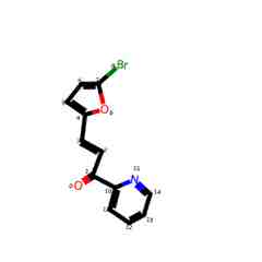 O=C(/C=C/c1ccc(Br)o1)c1ccccn1